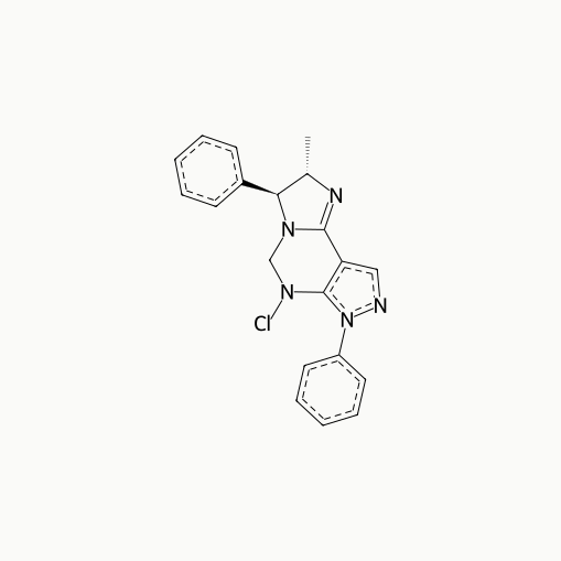 C[C@@H]1N=C2c3cnn(-c4ccccc4)c3N(Cl)CN2[C@H]1c1ccccc1